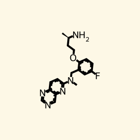 C[C@@H](N)CCOc1ccc(F)cc1CN(C)c1ccc2ncncc2n1